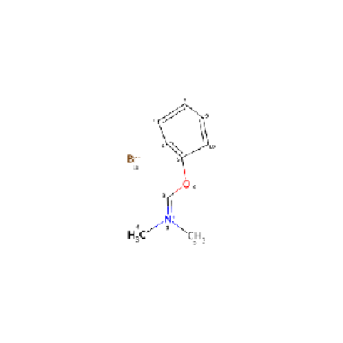 C[N+](C)=COc1ccccc1.[Br-]